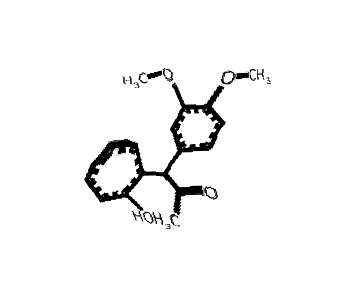 COc1ccc(C(C(C)=O)c2ccccc2O)cc1OC